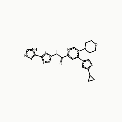 O=C(Nc1csc(-c2nnc[nH]2)n1)c1cc(-n2cnc(C3CC3)c2)c(N2CCOCC2)cn1